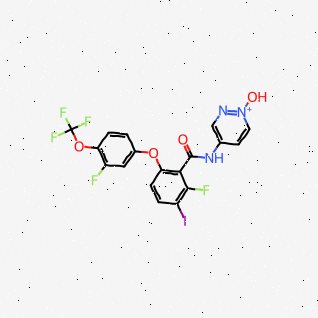 O=C(Nc1cc[n+](O)nc1)c1c(Oc2ccc(OC(F)(F)F)c(F)c2)ccc(I)c1F